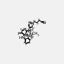 CS(=O)(=O)Nc1ccccc1Nc1nc(Nc2cnn(CCCC#N)c2)ncc1F